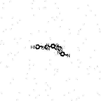 N#Cc1ccc2nc3n(Cc4cccc(-c5ncc(OCC6CCNCC6)cn5)c4)c(=O)ccn3c2c1